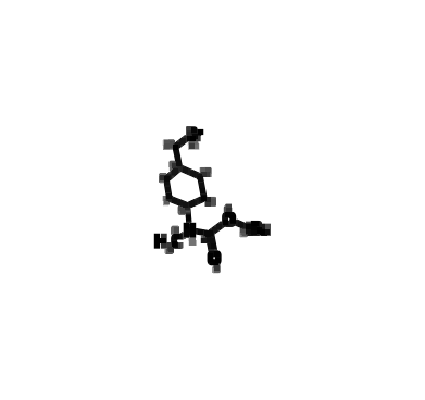 CN(C(=O)OC(C)(C)C)C1CCC(CBr)CC1